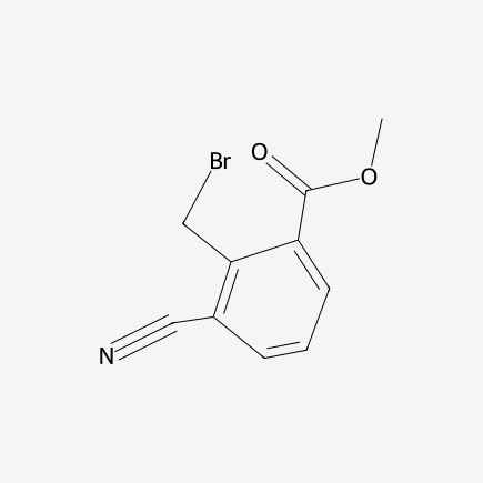 COC(=O)c1cccc(C#N)c1CBr